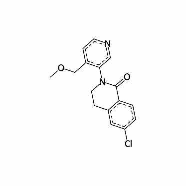 COCc1ccncc1N1CCc2cc(Cl)ccc2C1=O